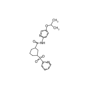 CC(C)Oc1ccc(NC(=O)C2CCCC(S(=O)(=O)c3ccccn3)C2)nc1